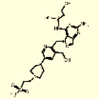 CCC[C@@H](CCO)Nc1nc(N)nc2cnn(Cc3ncc(C4CCN(CCS(C)(=O)=O)CC4)cc3CO)c12